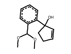 COC(OC)c1ccccc1C1(O)C=CCC1